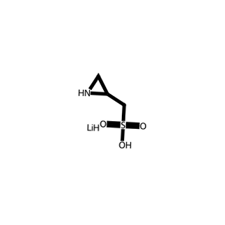 O=S(=O)(O)CC1CN1.[LiH]